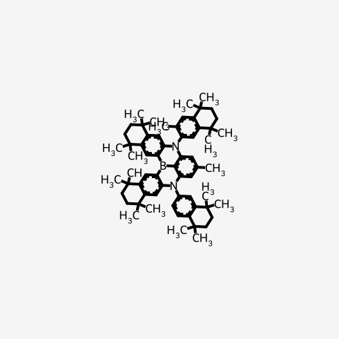 Cc1cc2c3c(c1)N(c1cc4c(cc1C)C(C)(C)CCC4(C)C)c1cc4c(cc1B3c1cc3c(cc1N2c1ccc2c(c1)C(C)(C)CCC2(C)C)C(C)(C)CCC3(C)C)C(C)(C)CCC4(C)C